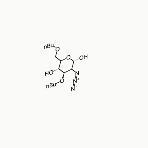 CCCCOCC1O[C@H](O)C(N=[N+]=[N-])[C@@H](OCCCC)[C@@H]1O